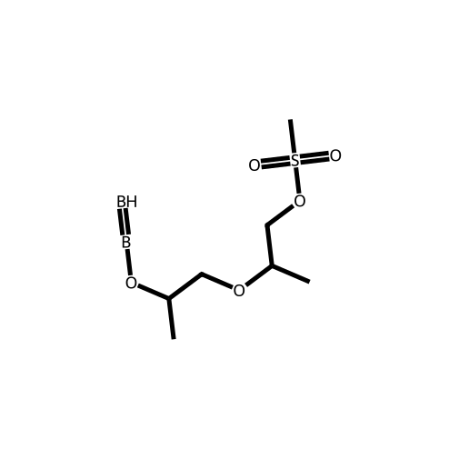 B=BOC(C)COC(C)COS(C)(=O)=O